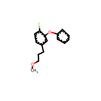 COCCCc1ccc(F)c(Oc2ccccc2)c1